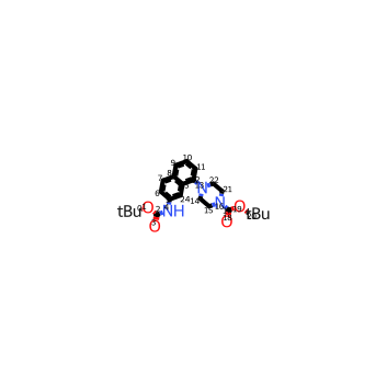 CC(C)(C)OC(=O)Nc1ccc2cccc(N3CCN(C(=O)OC(C)(C)C)CC3)c2c1